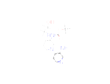 CC(C)(C)OC(=O)N[C@H]1CN(c2ccncc2N)CC[C@@H]1CC(C)(C)[Si](C)(C)O